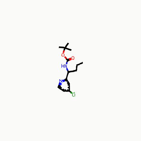 CCCC(NC(=O)OC(C)(C)C)c1cc(Cl)ccn1